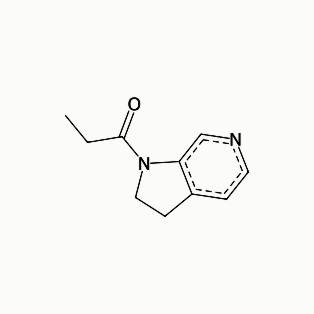 CCC(=O)N1CCc2ccncc21